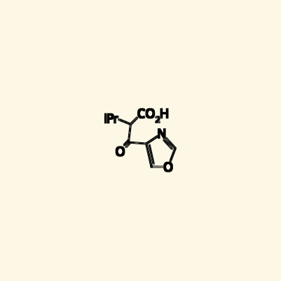 CC(C)C(C(=O)O)C(=O)c1cocn1